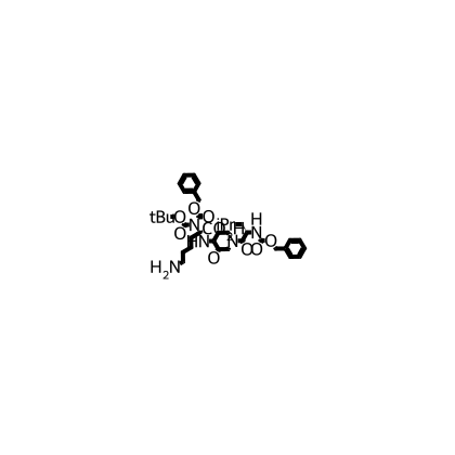 CC(C)C[C@H](NC(=O)OCc1ccccc1)C(=O)N1CCC(N[C@@](CCCCN)(C(=O)O)N(C(=O)OCc2ccccc2)C(=O)OC(C)(C)C)C(=O)C1